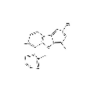 Cc1ccc2c(oc3c(C)cc(C#N)cc32)c1-c1cccc[n+]1C